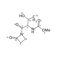 COC(=O)NC(C(=O)N1CCC1=O)C(C)O